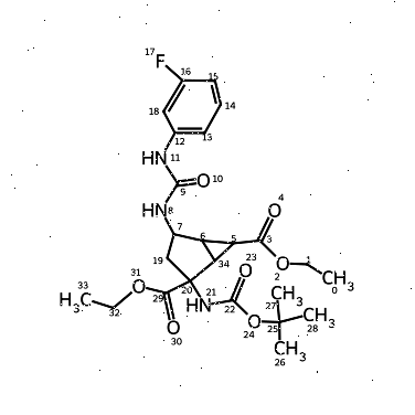 CCOC(=O)C1C2C(NC(=O)Nc3cccc(F)c3)CC(NC(=O)OC(C)(C)C)(C(=O)OCC)C12